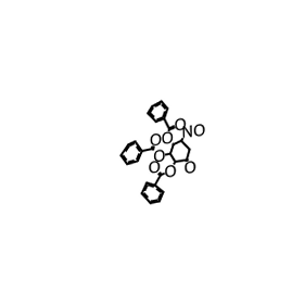 O=NC1CC(=O)C(OC(=O)c2ccccc2)C(OC(=O)c2ccccc2)C1OC(=O)c1ccccc1